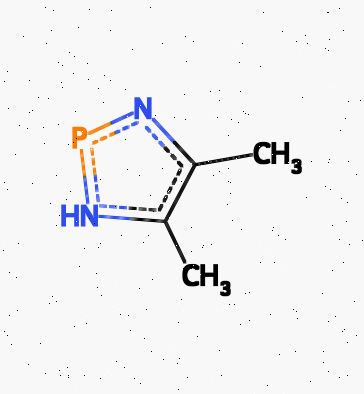 Cc1np[nH]c1C